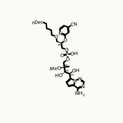 CCCCCCCCCCCCCCOC[C@H](COP(=O)(O)OC[C@@](C)(OC)[C@@H](O)[C@@H](O)c1ccc2c(N)ncnn12)Oc1cc(C#N)ccn1